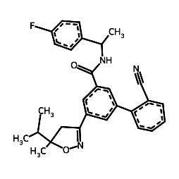 CC(NC(=O)c1cc(C2=NOC(C)(C(C)C)C2)cc(-c2ccccc2C#N)c1)c1ccc(F)cc1